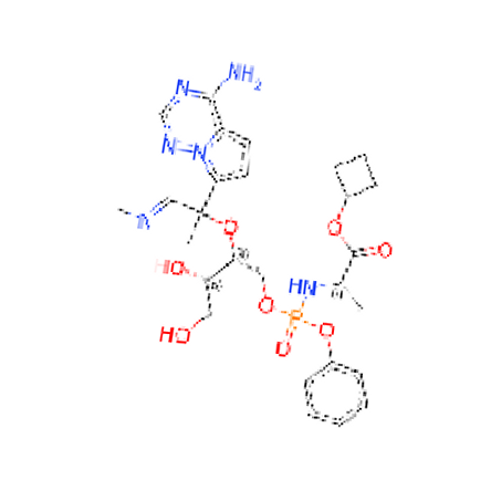 CN=CC(C)(O[C@H](COP(=O)(N[C@@H](C)C(=O)OC1CCC1)Oc1ccccc1)[C@@H](O)CO)c1ccc2c(N)ncnn12